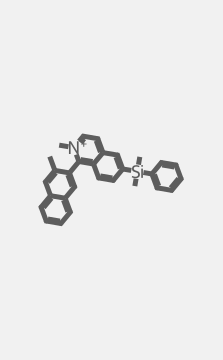 Cc1cc2ccccc2cc1-c1c2ccc([Si](C)(C)c3ccccc3)cc2cc[n+]1C